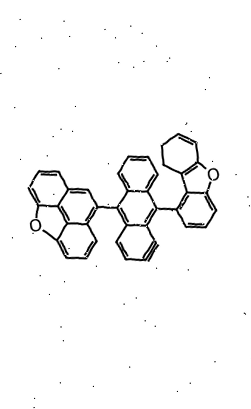 c1ccc2c(-c3cc4cccc5oc6cccc3c6c45)c3ccccc3c(-c3cccc4oc5c(c34)CCC=C5)c2c#1